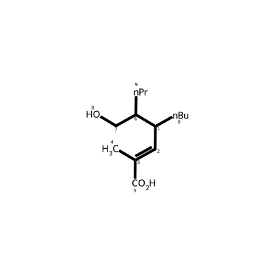 CCCCC(/C=C(\C)C(=O)O)C(CO)CCC